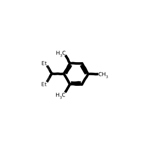 CCC(CC)c1c(C)cc(C)cc1C